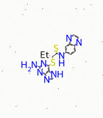 CC[C@@H](Sc1nc(N)nc2nc[nH]c12)C(=S)Nc1ccc2nccnc2c1